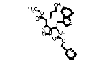 CCCC[C@@H](C(=O)OC)C1N=NN=C1[C@H](Cc1csc2ccccc12)NC(=O)OCc1ccccc1